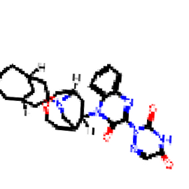 O=c1cnn(-c2nc3ccccc3n([C@H]3C[C@H]4COCCC3CN4[C@@H]3C[C@@H]4CCCC[C@@H](C4)C3)c2=O)c(=O)[nH]1